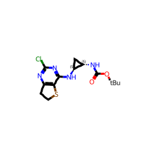 CC(C)(C)OC(=O)N[C@H]1C[C@@H]1Nc1nc(Cl)nc2c1SCC2